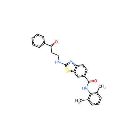 Cc1cccc(C)c1NC(=O)c1ccc2nc(NCCC(=O)c3ccccc3)sc2c1